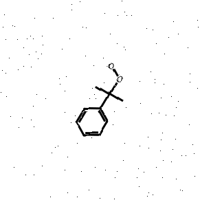 CC(C)(O[O])c1ccccc1